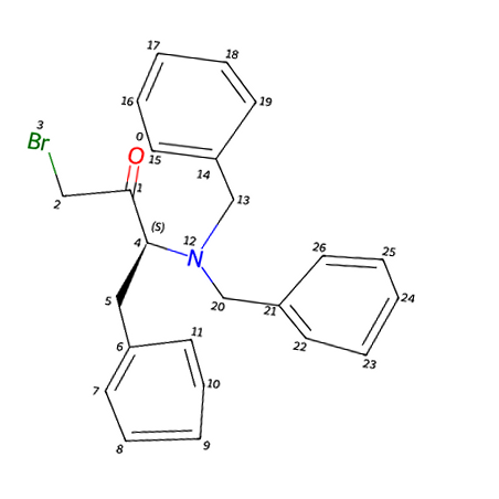 O=C(CBr)[C@H](Cc1ccccc1)N(Cc1ccccc1)Cc1ccccc1